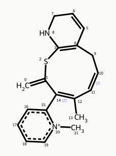 C=C1SC2=C(C=CCN2)C/C=C\C(C)=C/1c1cccc[n+]1C